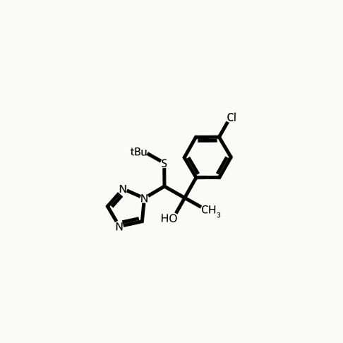 CC(C)(C)SC(n1cncn1)C(C)(O)c1ccc(Cl)cc1